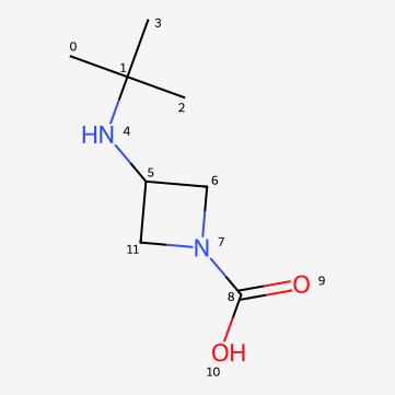 CC(C)(C)NC1CN(C(=O)O)C1